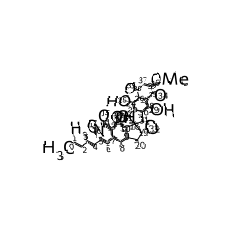 C/C=C/C=C/c1cc2cc3c(c(O)c2c(=O)n1C)C1(CC3)C(=O)c2c(O)c3c(c(O)c2C1=O)C(=O)C(OC)=CC3=O